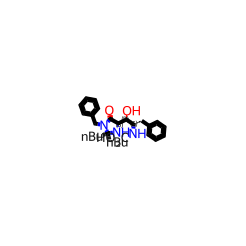 CCCCC1(CCCC)N[C@@H]([C@H](O)[C@H](Cc2ccccc2)NC(=O)O)C(=O)N1Cc1ccccc1